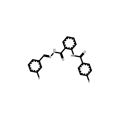 O=C(Nc1ccccc1C(=O)NN=Cc1cccc(F)c1)c1ccc(F)cc1